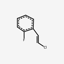 Fc1ccccc1C=CCl